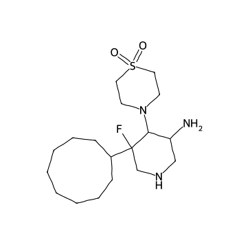 NC1CNCC(F)(C2CCCCCCCC2)C1N1CCS(=O)(=O)CC1